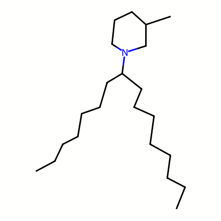 CCCCCCCCC(CCCCCCC)N1CCCC(C)C1